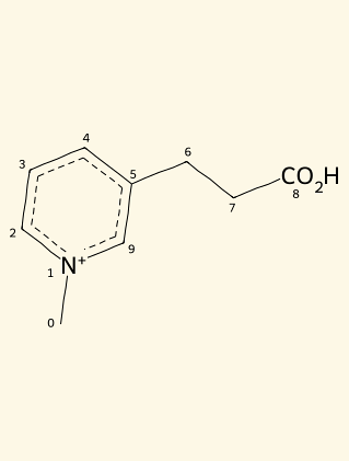 C[n+]1cccc(CCC(=O)O)c1